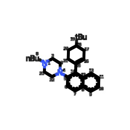 CCCCN1CCN(c2ccc3ccccc3c2C2=CCC(C(C)(C)C)CC2)CC1